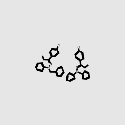 CCC(=NN(Cc1ccccc1)c1ccccc1)c1ccc(Cl)cc1.CCC(=NN(c1ccccc1)c1ccccc1)c1ccc(Cl)cc1